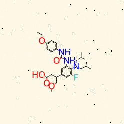 CCOc1ccc(NC(=O)Nc2cc(C(COC)CC(=O)O)cc(F)c2N(CC(C)C)CC(C)C)cc1